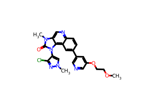 COCCOc1cncc(-c2ccc3ncc4c(c3c2)n(-c2cn(C)nc2Cl)c(=O)n4C)c1